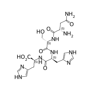 NC(=O)C[C@H](N)C(=O)N[C@@H](CO)C(=O)N[C@@H](Cc1c[nH]cn1)C(=O)N[C@@H](Cc1c[nH]cn1)C(=O)O